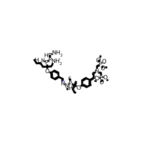 CCCCC(CC)(Oc1ccc(/C=N/N(C)[PH](=S)C(C)(CC)Oc2ccc(CCN(CP(=O)(OC)OC)CP(=O)(OC)OC)cc2)cc1)P(N)P(N)PN